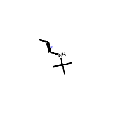 C/C=C/NC(C)(C)C